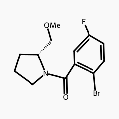 COC[C@H]1CCCN1C(=O)c1cc(F)ccc1Br